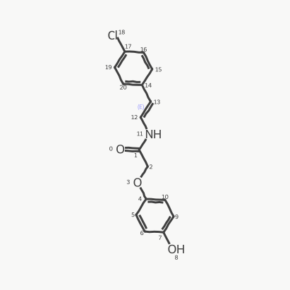 O=C(COc1ccc(O)cc1)N/C=C/c1ccc(Cl)cc1